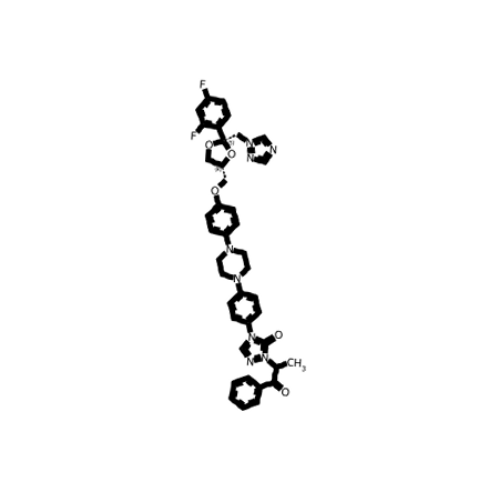 CC(C(=O)c1ccccc1)n1ncn(-c2ccc(N3CCN(c4ccc(OC[C@@H]5CO[C@@](Cn6cncn6)(c6ccc(F)cc6F)O5)cc4)CC3)cc2)c1=O